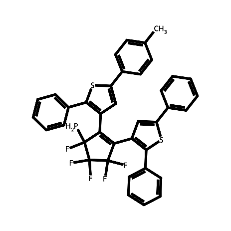 Cc1ccc(-c2cc(C3=C(c4cc(-c5ccccc5)sc4-c4ccccc4)C(F)(F)C(F)(F)C3(F)P)c(-c3ccccc3)s2)cc1